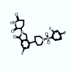 O=C1CCC(N2Cc3c(cc(F)cc3C3CCN(S(=O)(=O)c4ccc(F)cc4F)CC3)C2=O)C(=O)N1